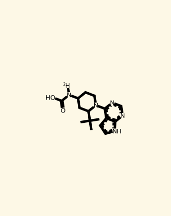 [2H]N(C(=O)O)C1CCN(c2ncnc3[nH]ccc23)C(C(C)(C)C)C1